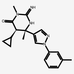 Cc1cccc(-n2cc([C@@]3(C)NC(=N)N(C)C(=O)[C@@H]3C3CC3)cn2)c1